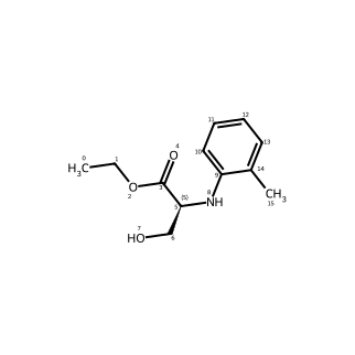 CCOC(=O)[C@H](CO)Nc1ccccc1C